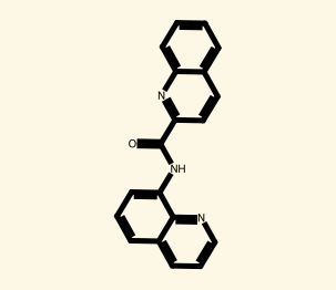 O=C(Nc1cccc2cccnc12)c1ccc2ccccc2n1